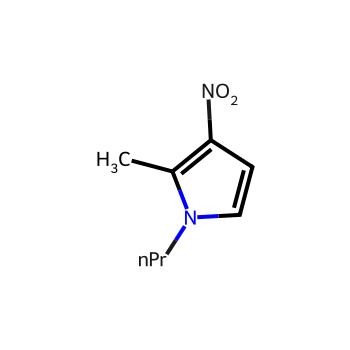 CCCn1ccc([N+](=O)[O-])c1C